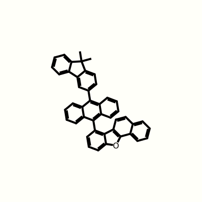 CC1(C)c2ccccc2-c2cc(-c3c4ccccc4c(-c4cccc5oc6c7ccccc7ccc6c45)c4ccccc34)ccc21